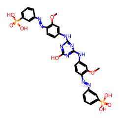 COc1cc(Nc2nc(O)nc(Nc3ccc(/N=N/c4cccc(P(=O)(O)O)c4)c(OC)c3)n2)ccc1N=Nc1cccc(P(=O)(O)O)c1